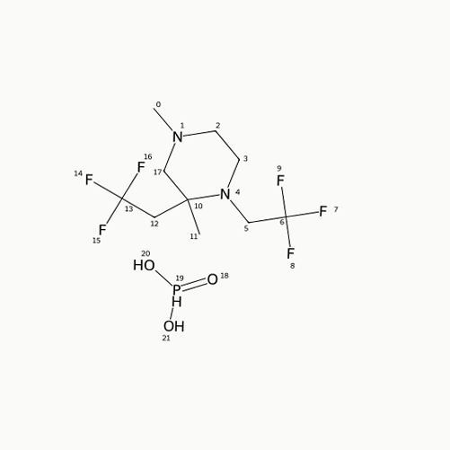 CN1CCN(CC(F)(F)F)C(C)(CC(F)(F)F)C1.O=[PH](O)O